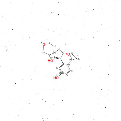 O=C1CC2(CCOCC2)C(O)=C1c1cc(O)ccc1C1CC1